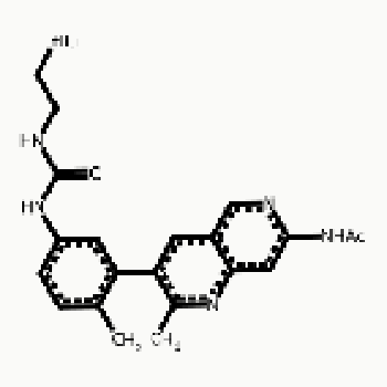 CC(=O)Nc1cc2nc(C)c(-c3cc(NC(=O)NCCC(C)(C)C)ccc3C)cc2cn1